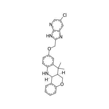 CC1(C)c2cc(OCc3nc4cc(Cl)cnc4[nH]3)ccc2N[C@@H]2c3ccccc3OC[C@@H]21